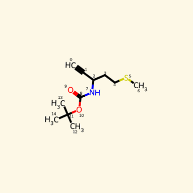 C#CC(CCSC)NC(=O)OC(C)(C)C